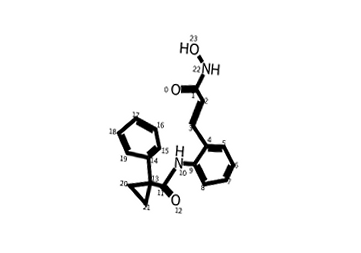 O=C(C=Cc1ccccc1NC(=O)C1(c2ccccc2)CC1)NO